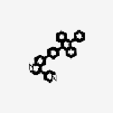 c1ccc(-c2c3ccccc3c(-c3ccc(-c4ccc5nccc(-c6ccncc6)c5c4)cc3)c3ccccc23)cc1